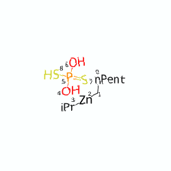 CCCCC[CH2][Zn][CH](C)C.OP(O)(=S)S